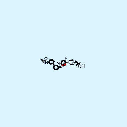 C=CC(=O)Nc1cccc(C2=CC=CC(=C/N=C)/C2=N\c2ccc(N3CCN(CC(C)(C)O)CC3)c(F)c2)c1